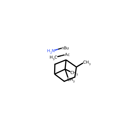 CC(C)=O.CC1CCC2CC1C2(C)C.CCCCN